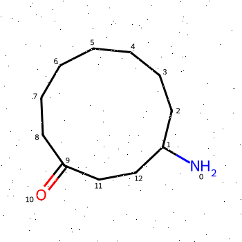 NC1CCCCCCCC(=O)CC1